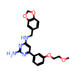 COCCOc1cccc(-c2cc(NCc3ccc4c(c3)OCO4)nc(N)n2)c1